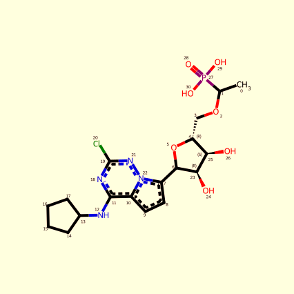 CC(OC[C@H]1OC(c2ccc3c(NC4CCCC4)nc(Cl)nn23)[C@H](O)[C@@H]1O)P(=O)(O)O